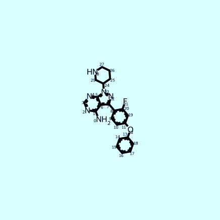 Nc1ncnc2c1c(-c1ccc(Oc3ccccc3)cc1F)nn2C1CCCNC1